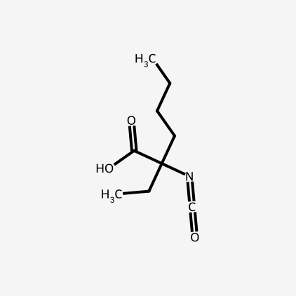 CCCCC(CC)(N=C=O)C(=O)O